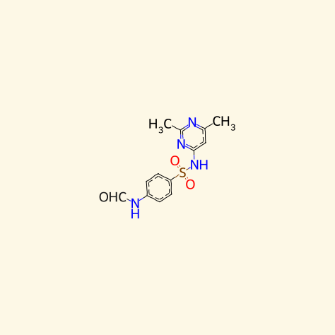 Cc1cc(NS(=O)(=O)c2ccc(NC=O)cc2)nc(C)n1